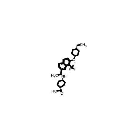 CC[C@H]1CC[C@@H](Oc2ccc3ccc(C(C)N[C@H]4CC[C@@H](C(=O)O)CC4)cc3c2C(F)(F)F)CC1